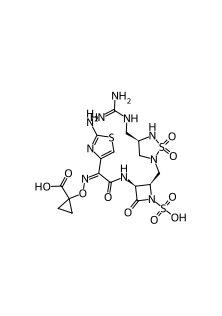 N=C(N)NC[C@@H]1CN(C[C@@H]2[C@H](NC(=O)/C(=N\OC3(C(=O)O)CC3)c3csc(N)n3)C(=O)N2S(=O)(=O)O)S(=O)(=O)N1